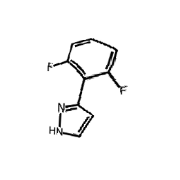 Fc1cccc(F)c1-c1cc[nH]n1